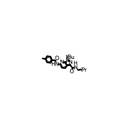 Cc1ccc(C(=O)Nc2ccc3c(C(=O)NCC(C)C)nn(C(C)(C)C)c3n2)cc1